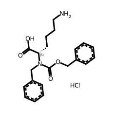 Cl.NCCCC[C@@H](C(=O)O)N(Cc1ccccc1)C(=O)OCc1ccccc1